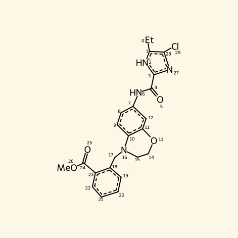 CCc1[nH]c(C(=O)Nc2ccc3c(c2)OCCN3Cc2ccccc2C(=O)OC)nc1Cl